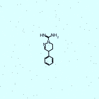 N=C(N)N1CCC(c2ccccc2)C=N1